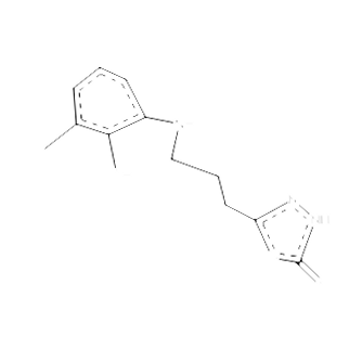 Cc1cccc(NCCCc2n[nH]c(=S)o2)c1O